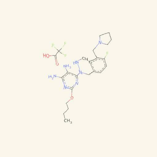 CCCCOc1nc(N)c(N)c(N(Cc2ccc(F)c(CN3CCCC3)c2)NC)n1.O=C(O)C(F)(F)F